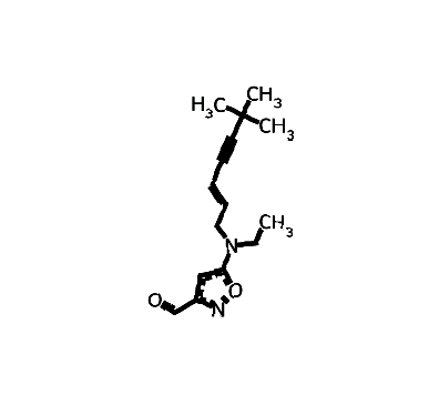 CCN(C/C=C/C#CC(C)(C)C)c1cc(C=O)no1